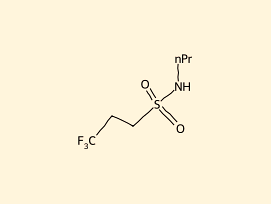 CCCNS(=O)(=O)CCC(F)(F)F